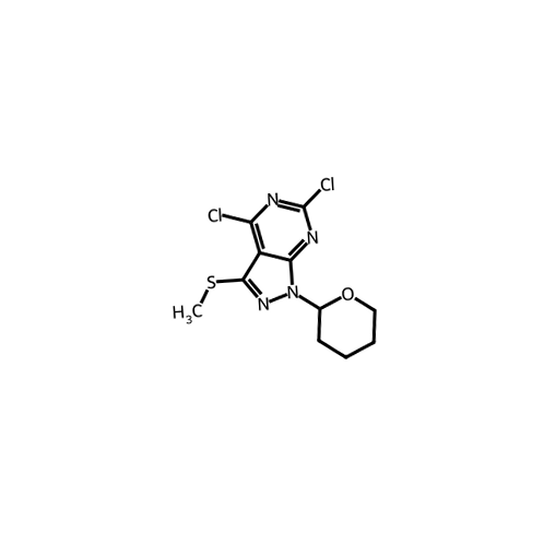 CSc1nn(C2CCCCO2)c2nc(Cl)nc(Cl)c12